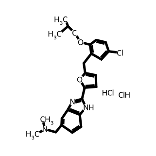 CC(C)COc1ccc(Cl)cc1Cc1ccc(-c2nc3cc(CN(C)C)ccc3[nH]2)o1.Cl.Cl